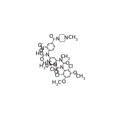 COc1cc(OC)c(Cl)c(N(C(=O)OC(C)(C)C)C(=O)N(C)c2cc(N(C(=O)O)c3ccc(C(=O)N4CCN(C)CC4)cc3[N+](=O)[O-])ncn2)c1Cl